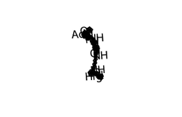 CC(=O)c1c(C)c2cnc(Nc3ccc(N4CCN(CC(=O)NCCCCCCCNc5ccccc5C(=O)Nc5nc(C)c(C)s5)CC4)cn3)nc2n(C2CCCC2)c1=O